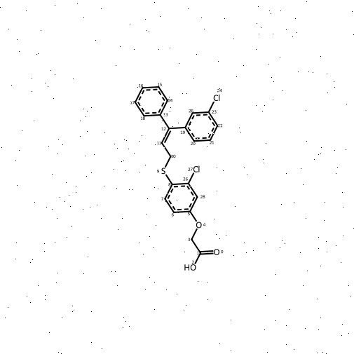 O=C(O)COc1ccc(SC/C=C(/c2ccccc2)c2cccc(Cl)c2)c(Cl)c1